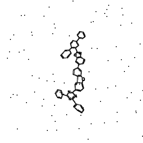 c1ccc(-c2ccc(-c3ccccc3)c(-c3nc4ccc(-c5ccc6c(c5)oc5ccc(-c7nc(-c8ccccc8)nc(-c8ccccc8)n7)cc56)cc4o3)c2)cc1